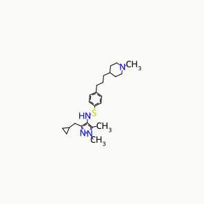 Cc1c(NSc2ccc(CCCC3CCN(C)CC3)cc2)c(CC2CC2)nn1C